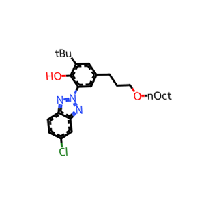 CCCCCCCCOCCCc1cc(-n2nc3ccc(Cl)cc3n2)c(O)c(C(C)(C)C)c1